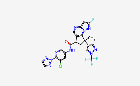 CC1(c2cnn(C(F)(F)F)c2)CC(C(=O)Nc2cnc(-n3nccn3)c(Cl)c2)c2cnc3cc(F)nn3c21